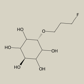 OC1C(O)[C@H](OCCCF)C(O)C(O)[C@H]1O